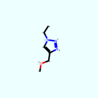 CCn1cc(COC)nn1